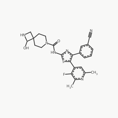 Cc1cc(-c2sc(NC(=O)N3CCC4(CC3)CNC4O)nc2-c2cccc(C#N)c2)c(F)c(C)n1